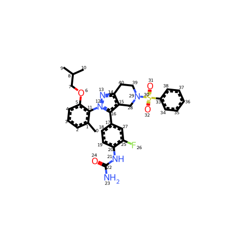 Cc1cccc(OCC(C)C)c1-n1nc2c(c1-c1ccc(NC(N)=O)c(F)c1)CN(S(=O)(=O)c1ccccc1)CC2